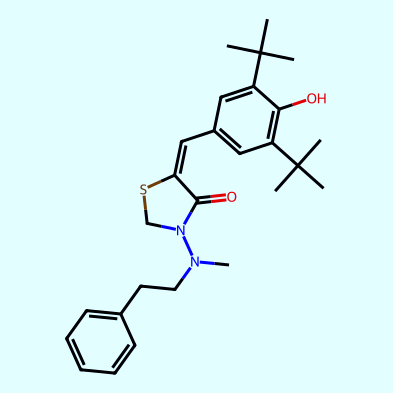 CN(CCc1ccccc1)N1CSC(=Cc2cc(C(C)(C)C)c(O)c(C(C)(C)C)c2)C1=O